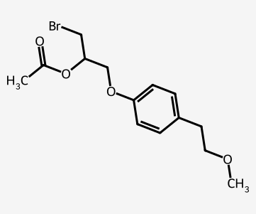 COCCc1ccc(OCC(CBr)OC(C)=O)cc1